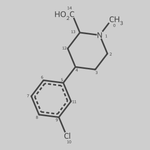 CN1CCC(c2cccc(Cl)c2)CC1C(=O)O